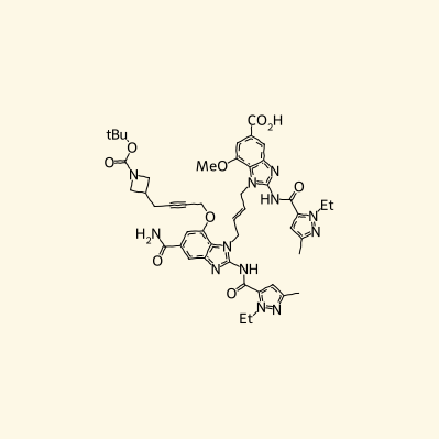 CCn1nc(C)cc1C(=O)Nc1nc2cc(C(=O)O)cc(OC)c2n1CC=CCn1c(NC(=O)c2cc(C)nn2CC)nc2cc(C(N)=O)cc(OCC#CCC3CN(C(=O)OC(C)(C)C)C3)c21